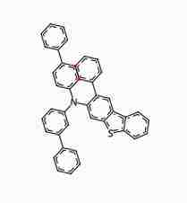 c1ccc(-c2ccc(N(c3cccc(-c4ccccc4)c3)c3cc4sc5ccccc5c4cc3-c3ccccc3)cc2)cc1